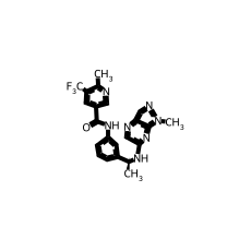 Cc1ncc(C(=O)Nc2cccc([C@H](C)Nc3cnc4cnn(C)c4n3)c2)cc1C(F)(F)F